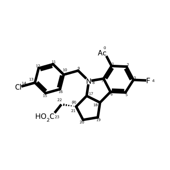 CC(=O)c1cc(F)cc2c1N(Cc1ccc(Cl)cc1)C1C2CC[C@@H]1CC(=O)O